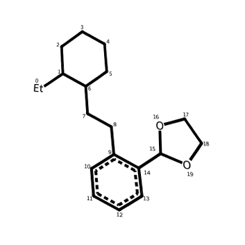 CCC1CCCCC1CCc1ccccc1C1OCCO1